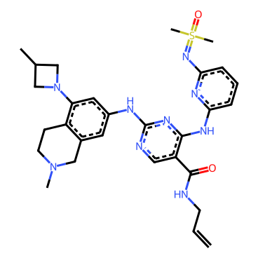 C=CCNC(=O)c1cnc(Nc2cc3c(c(N4CC(C)C4)c2)CCN(C)C3)nc1Nc1cccc(N=S(C)(C)=O)n1